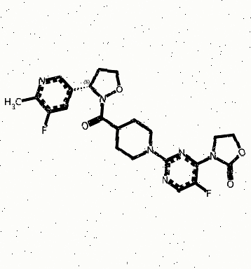 Cc1ncc([C@@H]2CCON2C(=O)C2CCN(c3ncc(F)c(N4CCOC4=O)n3)CC2)cc1F